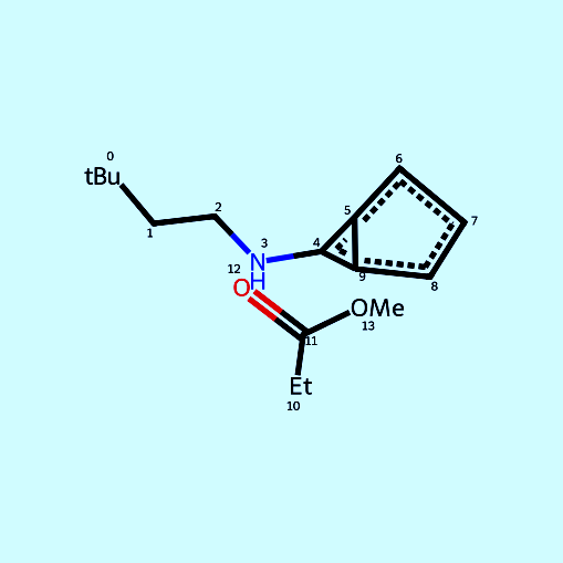 CC(C)(C)CCNc1c2cccc1-2.CCC(=O)OC